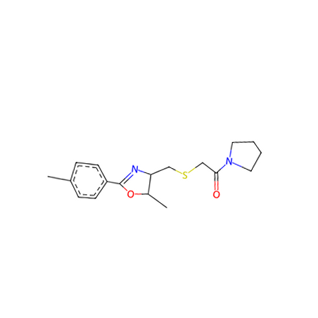 Cc1ccc(C2=NC(CSCC(=O)N3CCCC3)C(C)O2)cc1